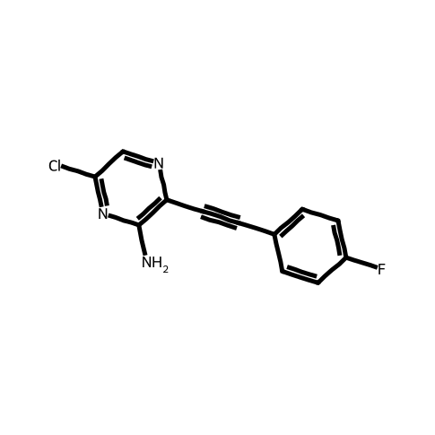 Nc1nc(Cl)cnc1C#Cc1ccc(F)cc1